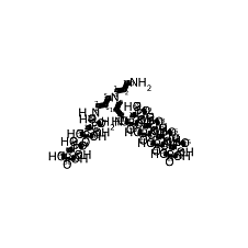 NCCCN(CCCN)CCCN.O=P(O)(O)CP(=O)(O)O.O=P(O)(O)CP(=O)(O)O.O=P(O)(O)CP(=O)(O)O.O=P(O)(O)CP(=O)(O)O.O=P(O)(O)CP(=O)(O)O.O=P(O)(O)CP(=O)(O)O